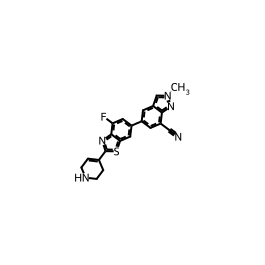 Cn1cc2cc(-c3cc(F)c4nc(C5=CCNCC5)sc4c3)cc(C#N)c2n1